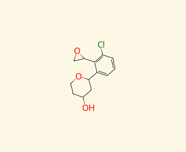 OC1CCOC(c2cccc(Cl)c2C2CO2)C1